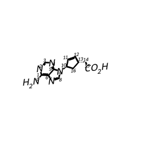 Nc1ncnc2c1ncn2[C@H]1C=C[C@H](CC(=O)O)C1